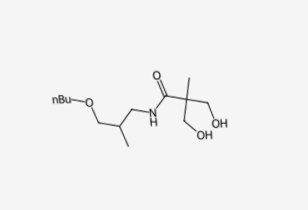 CCCCOCC(C)CNC(=O)C(C)(CO)CO